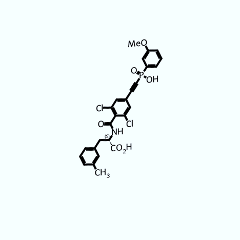 COc1cccc(P(=O)(O)C#Cc2cc(Cl)c(C(=O)N[C@@H](Cc3cccc(C)c3)C(=O)O)c(Cl)c2)c1